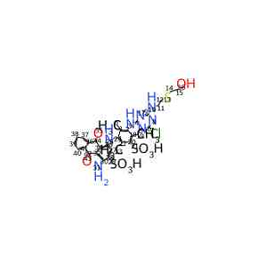 Cc1c(Nc2nc(Cl)nc(NCCSCCO)n2)c(C)c(S(=O)(=O)O)c(C)c1Nc1cc(S(=O)(=O)O)c(N)c2c1C(=O)c1ccccc1C2=O